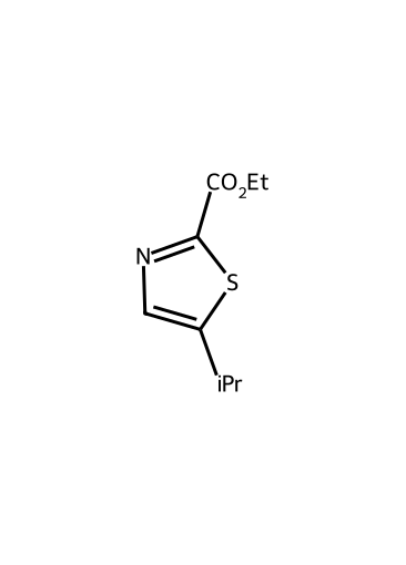 CCOC(=O)c1ncc(C(C)C)s1